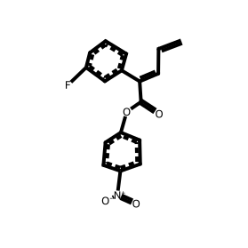 C=C/C=C(/C(=O)Oc1ccc([N+](=O)[O-])cc1)c1cccc(F)c1